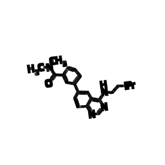 CC(C)CCNc1ncnc2ccc(-c3cccc(C(=O)N(C)C)c3)cc12